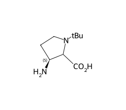 CC(C)(C)N1CC[C@H](N)C1C(=O)O